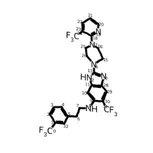 FC(F)(F)c1cccc(CCNc2cc3[nH]c(N4CCN(c5ncccc5C(F)(F)F)CC4)nc3cc2C(F)(F)F)c1